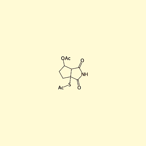 CC(=O)OC1CCC2(SC(C)=O)C(=O)NC(=O)C12